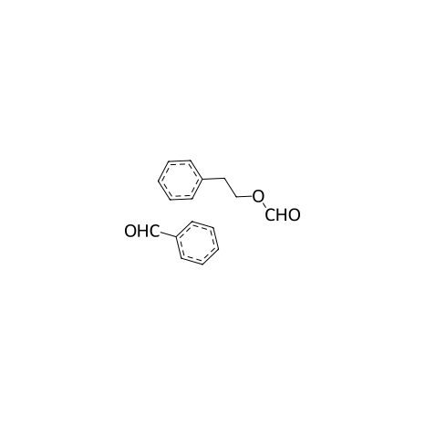 O=COCCc1ccccc1.O=Cc1ccccc1